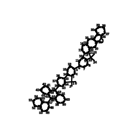 CC1(C)c2cc(-c3ccc4c(c3)-c3ccc5cc6c(cc5c3C4(C)C)oc3ccccc36)ccc2-c2ccc(-c3c4ccccc4c(-c4cccc5ccccc45)c4ccccc34)cc21